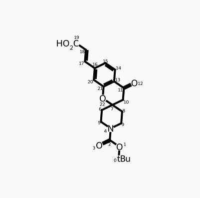 CC(C)(C)OC(=O)N1CCC2(CC1)CC(=O)c1ccc(C=CC(=O)O)cc1O2